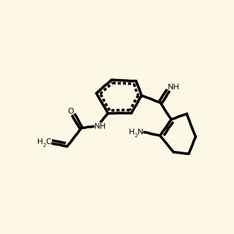 C=CC(=O)Nc1cccc(C(=N)C2=C(N)CCCC2)c1